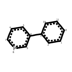 c1ccc(-c2cccpc2)cc1